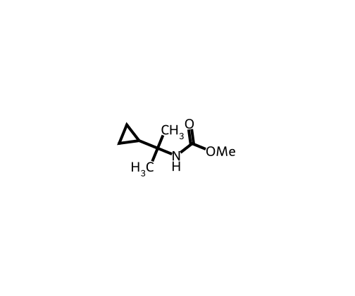 COC(=O)NC(C)(C)C1CC1